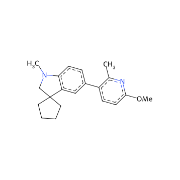 COc1ccc(-c2ccc3c(c2)C2(CCCC2)CN3C)c(C)n1